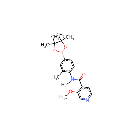 COc1cnccc1C(=O)N(C)c1ccc(B2OC(C)(C)C(C)(C)O2)cc1C